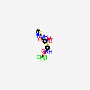 CC(C)(C)c1nnc(NC(=O)c2ccc(Sc3ccc(NC(=O)OCC(Cl)(Cl)Cl)cc3)c([N+](=O)[O-])c2)s1